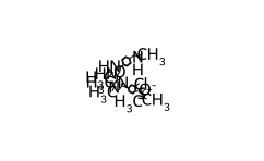 CNCc1ccc(C(=N)OC(NC)C2=C(C)N(C)CC(c3ccc([S+]([O-])C(C)C)c(Cl)c3)=N2)cc1